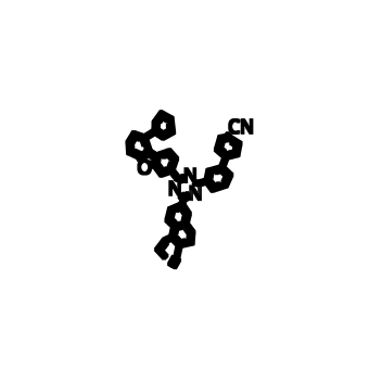 C#Cc1ccc2cc(-c3nc(-c4cccc(-c5ccc(C#N)cc5)c4)nc(-c4ccc5c(c4)oc4cccc(-c6ccccc6)c45)n3)ccc2c1/C=C\C